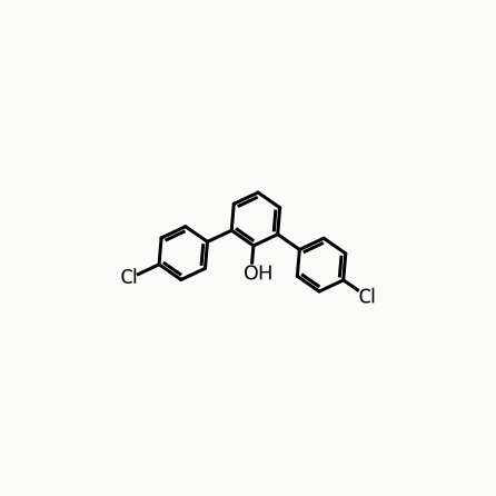 Oc1c(-c2ccc(Cl)cc2)cccc1-c1ccc(Cl)cc1